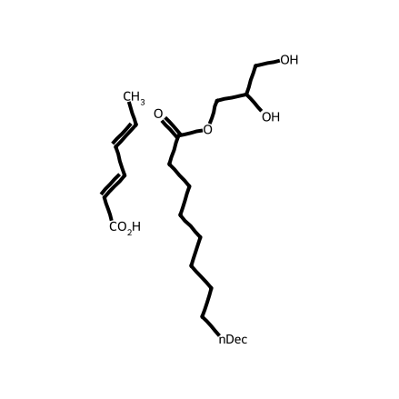 CC=CC=CC(=O)O.CCCCCCCCCCCCCCCCCC(=O)OCC(O)CO